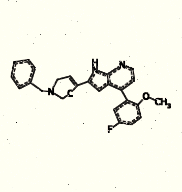 COc1ccc(F)cc1-c1ccnc2[nH]c(C3=CCN(Cc4ccccc4)CC3)cc12